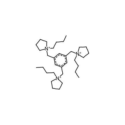 CCCC[N+]1(Cc2cc(C[N+]3(CCCC)CCCC3)cc(C[N+]3(CCCC)CCCC3)c2)CCCC1